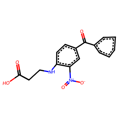 O=C(O)CCNc1ccc(C(=O)c2ccccc2)cc1[N+](=O)[O-]